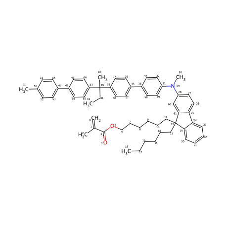 C=C(C)C(=O)OCCCCCCC1(CCCCCC)c2ccccc2-c2ccc(N(C)c3ccc(-c4ccc(C(C)(CC)c5ccc(-c6ccc(C)cc6)cc5)cc4)cc3)cc21